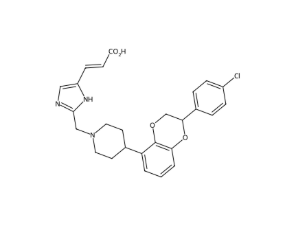 O=C(O)C=Cc1cnc(CN2CCC(c3cccc4c3OCC(c3ccc(Cl)cc3)O4)CC2)[nH]1